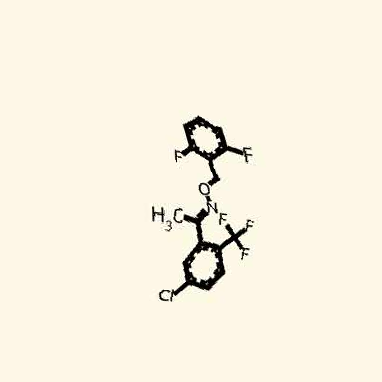 C/C(=N\OCc1c(F)cccc1F)c1cc(Cl)ccc1C(F)(F)F